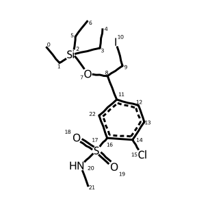 CC[Si](CC)(CC)OC(CI)c1ccc(Cl)c(S(=O)(=O)NC)c1